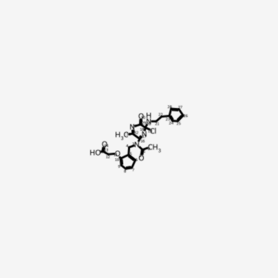 CC(=O)N(Cc1ccccc1OCC(=O)O)C1=NC(Cl)(NCCc2ccccc2)C(=O)N=C1C